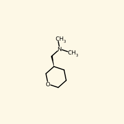 CN(C)C[C@H]1CCCOC1